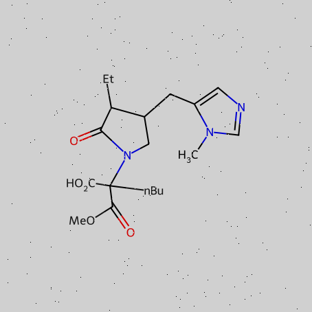 CCCCC(C(=O)O)(C(=O)OC)N1CC(Cc2cncn2C)C(CC)C1=O